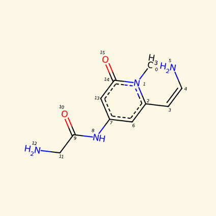 Cn1c(/C=C\N)cc(NC(=O)CN)cc1=O